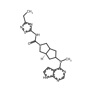 CCc1nsc(NC(=O)N2CC3CC(N(C)c4ncnc5[nH]ccc45)C[C@H]3C2)n1